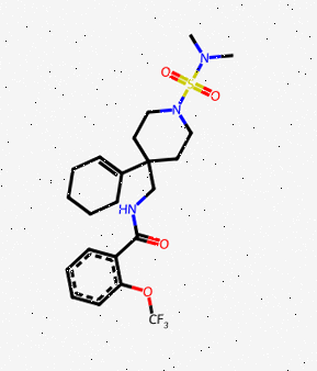 CN(C)S(=O)(=O)N1CCC(CNC(=O)c2ccccc2OC(F)(F)F)(C2=CCCCC2)CC1